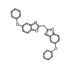 c1ccc(Oc2ccc3oc(Cc4nc5cc(Oc6ccccc6)ccc5o4)nc3c2)cc1